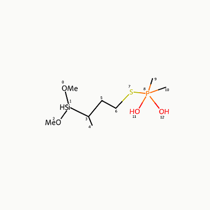 CO[SiH](OC)C(C)CCSP(C)(C)(O)O